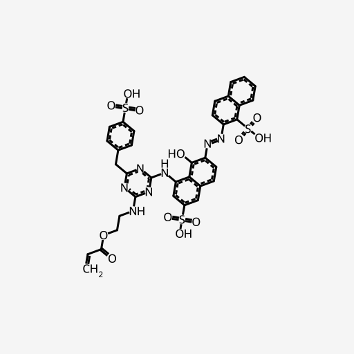 C=CC(=O)OCCNc1nc(Cc2ccc(S(=O)(=O)O)cc2)nc(Nc2cc(S(=O)(=O)O)cc3ccc(/N=N/c4ccc5ccccc5c4S(=O)(=O)O)c(O)c23)n1